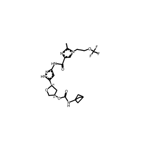 Cc1nc(C(=O)Nc2cc([C@H]3C[C@@H](OC(=O)NC45CC(C4)C5)CO3)[nH]n2)cn1CCOC(F)(F)F